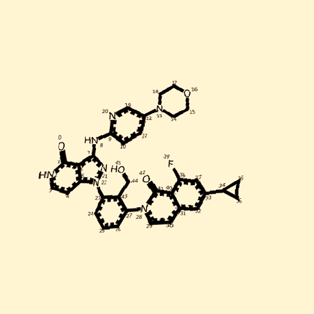 O=c1[nH]ccc2c1c(Nc1ccc(N3CCOCC3)cn1)nn2-c1cccc(-n2ccc3cc(C4CC4)cc(F)c3c2=O)c1CO